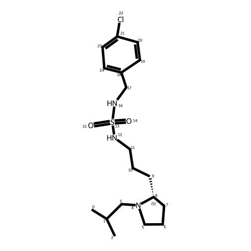 CC(C)CN1CCC[C@H]1CCCNS(=O)(=O)NCc1ccc(Cl)cc1